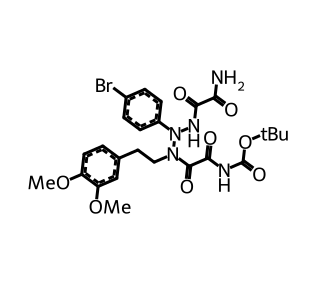 COc1ccc(CCN(C(=O)C(=O)NC(=O)OC(C)(C)C)N(NC(=O)C(N)=O)c2ccc(Br)cc2)cc1OC